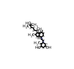 C=C1/C(=C\C=C2/CCC[C@]3(C)[C@@H]([C@H](C)CCCC(C)(C)O)[C@H](C)C[C@@H]23)C[C@@H](O)C[C@@H]1O